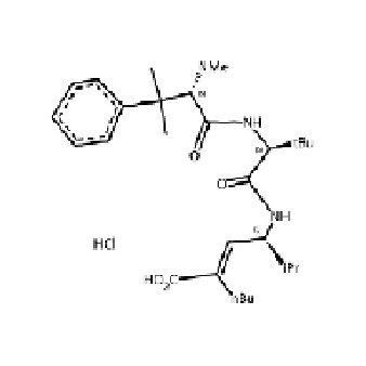 CCCCC(=C[C@@H](NC(=O)[C@@H](NC(=O)[C@@H](NC)C(C)(C)c1ccccc1)C(C)(C)C)C(C)C)C(=O)O.Cl